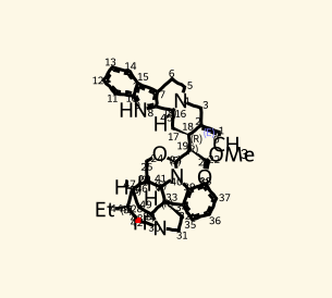 C/C=C1/CN2CCc3c([nH]c4ccccc34)[C@@H]2C[C@@H]1[C@@H](C(=O)OC)[C@@H]1OC[C@H]2[C@H]3C[C@@H]4N(CC[C@@]45c4ccccc4N1[C@@H]25)C[C@H]3CC